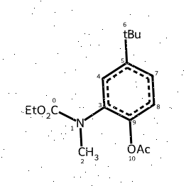 CCOC(=O)N(C)c1cc(C(C)(C)C)ccc1OC(C)=O